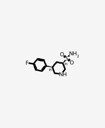 NS(=O)(=O)[C@H]1CNC[C@@H](c2ccc(F)cc2)C1